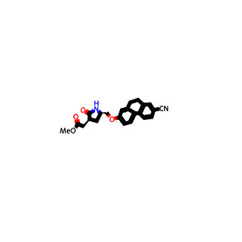 COC(=O)C[C@@H]1C[C@@H](COc2ccc3c(c2)CCc2cc(C#N)ccc2-3)NC1=O